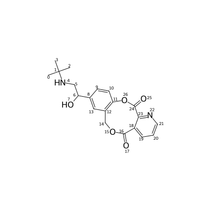 CC(C)(C)NCC(O)c1ccc2c(c1)COC(=O)c1cccnc1C(=O)O2